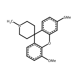 COc1cccc2c1Oc1cc(SC)ccc1C21CCN(C)CC1